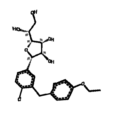 CCOc1ccc(Cc2cc([C@@H]3O[C@H]([C@H](O)CO)[C@H](O)[C@H]3O)ccc2Cl)cc1